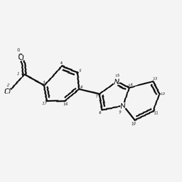 O=C(Cl)c1ccc(-c2cn3ccccc3n2)cc1